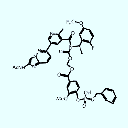 COc1cc(C(=O)OCOC(=O)N(C(=O)c2cc(-c3ccc4nc(NC(C)=O)cn4n3)cnc2C)[C@H](C)c2cc(OC(F)(F)F)ccc2F)ccc1OP(=O)(O)OCc1ccccc1